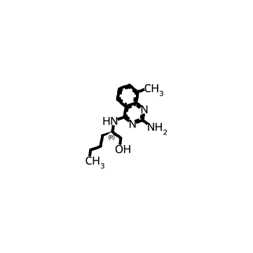 CCCC[C@H](CO)Nc1nc(N)nc2c(C)cccc12